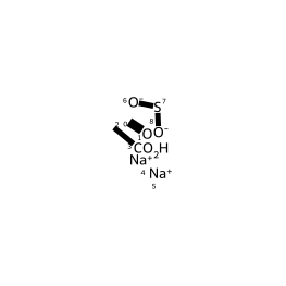 C=O.CC(=O)O.[Na+].[Na+].[O-]S[O-]